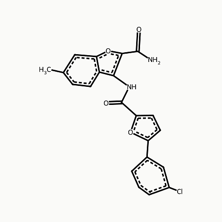 Cc1ccc2c(NC(=O)c3ccc(-c4cccc(Cl)c4)o3)c(C(N)=O)oc2c1